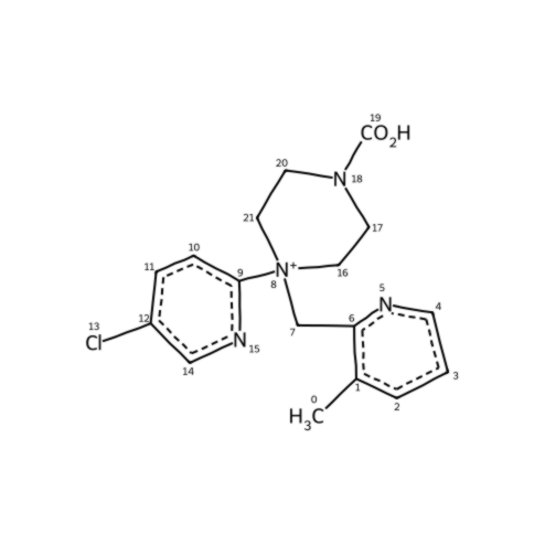 Cc1cccnc1C[N+]1(c2ccc(Cl)cn2)CCN(C(=O)O)CC1